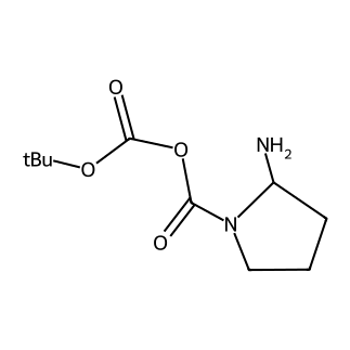 CC(C)(C)OC(=O)OC(=O)N1CCCC1N